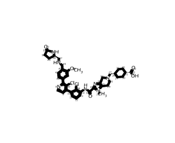 COc1cc(-c2nccc(-c3cccc(NC(=O)c4nc5c(n4C)CCN(C[C@H]4CC[C@@H](C(=O)O)CC4)C5)c3Cl)c2Cl)ccc1CNC[C@H]1CCC(=O)N1